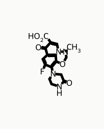 CN1COc2c(N3CCNC(=O)C3)c(F)cc3c(=O)c(C(=O)O)cn1c23